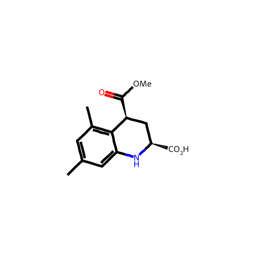 COC(=O)[C@H]1C[C@@H](C(=O)O)Nc2cc(C)cc(C)c21